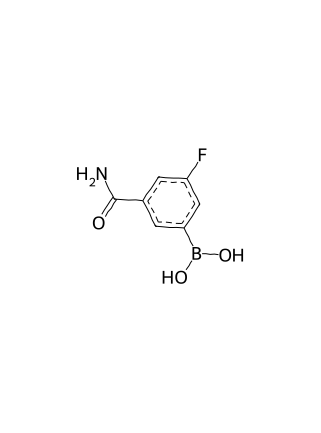 NC(=O)c1cc(F)cc(B(O)O)c1